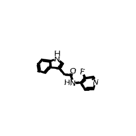 O=C(Cc1c[nH]c2ccccc12)Nc1ccncc1F